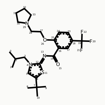 CC(C)Cn1cc(C(C)(C)C)sc1=NC(=O)c1cc(C(F)(F)F)ccc1OCCN1CCCC1